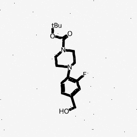 CC(C)(C)OC(=O)N1CCN(c2ccc(CO)cc2F)CC1